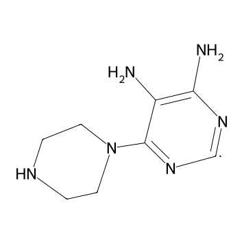 Nc1n[c]nc(N2CCNCC2)c1N